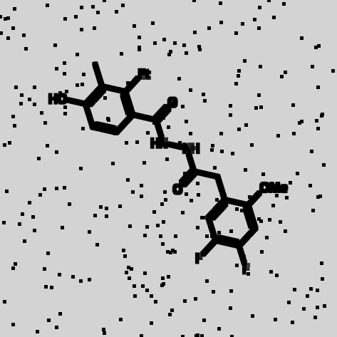 CCc1c(C(=O)NNC(=O)Cc2cc(F)c(F)cc2OC)ccc(O)c1C